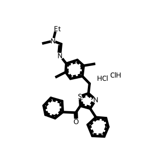 CCN(C)C=Nc1cc(C)c(Cc2nc(-c3ccccc3)c(C(=O)c3ccccc3)s2)cc1C.Cl.Cl